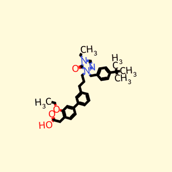 CCOc1cc(-c2cccc(CCC[N+]3(Cc4ccc(C(C)(C)C)cc4)N=CN(CC)C3=O)c2)ccc1CC(=O)O